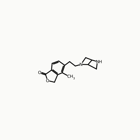 Cc1c(CCN2CC3NCC32)ccc2c1COC2=O